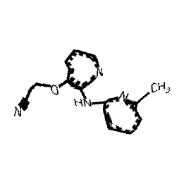 Cc1cccc(Nc2ncccc2OCC#N)n1